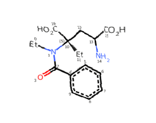 CCN(C(=O)c1ccccc1)[C@@](CC)(CC(N)C(=O)O)C(=O)O